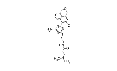 CN(C)CCC(=O)NCCSc1nc(N)nc(-c2c(Cl)cc3c4c(cccc24)COC3)n1